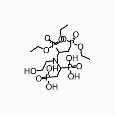 CCOP(=O)(CC(N(CCO)C(CP(=O)(O)O)P(=O)(O)O)P(=O)(OCC)OCC)OCC